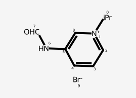 CC(C)[n+]1cccc(NC=O)c1.[Br-]